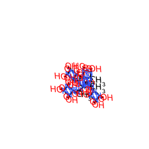 CC(C(=O)NCC(=O)NCC(CNC(=O)CN(C)C(=O)CN1CCN(CC(=O)O)CCN(CC(=O)O)CCN(CC(=O)O)CC1)(CNC(=O)CN(C)C(=O)CN1CCN(CC(=O)O)CCN(CC(=O)O)CCN(CC(=O)O)CC1)CNC(=O)CN(C)C(=O)CN1CCN(CC(=O)O)CCN(CC(=O)O)CCN(CC(=O)O)CC1)N1CCN(CC(=O)O)CCN(CC(=O)O)CCN(CC(=O)O)CC1